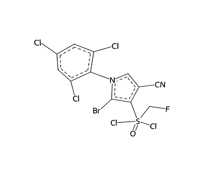 N#Cc1cn(-c2c(Cl)cc(Cl)cc2Cl)c(Br)c1S(=O)(Cl)(Cl)CF